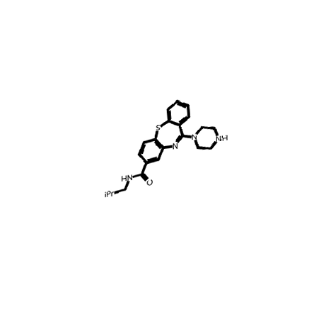 CC(C)CNC(=O)c1ccc2c(c1)N=C(N1CCNCC1)c1ccccc1S2